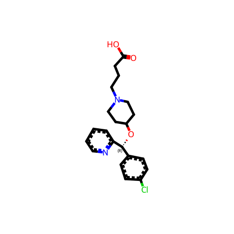 O=C(O)CCCN1CCC(O[C@H](c2ccc(Cl)cc2)c2ccccn2)CC1